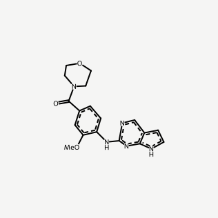 COc1cc(C(=O)N2CCOCC2)ccc1Nc1ncc2cc[nH]c2n1